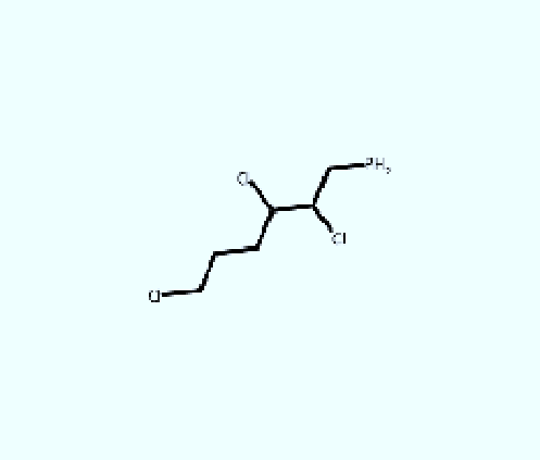 PCC(Cl)C(Cl)CCCCl